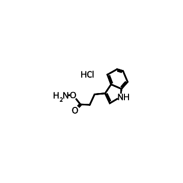 Cl.NOC(=O)CCc1c[nH]c2ccccc12